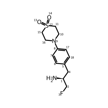 N[C@H](CF)Cc1ccc(N2CCS(=O)(=O)CC2)cc1